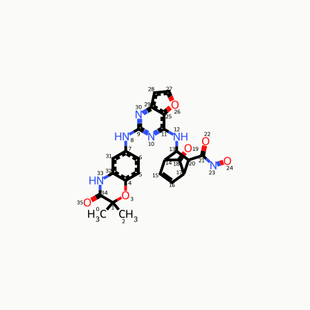 CC1(C)Oc2ccc(Nc3nc(NC4C5C=CC(C5=O)C4C(=O)N=O)c4occc4n3)cc2NC1=O